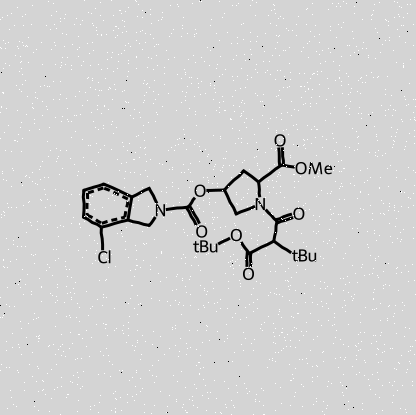 COC(=O)C1CC(OC(=O)N2Cc3cccc(Cl)c3C2)CN1C(=O)C(C(=O)OC(C)(C)C)C(C)(C)C